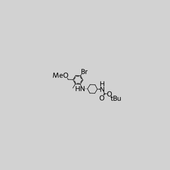 COCc1cc(Br)cc(N[C@H]2CC[C@H](NC(=O)OC(C)(C)C)CC2)c1C